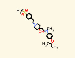 CC(C)Oc1ccc(N(C)CCC2(O)CCN(CCc3ccc(S(C)(=O)=O)cc3)CC2)cc1